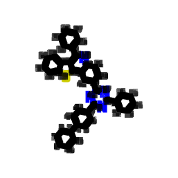 c1ccc(-c2ccc(-c3nc(-c4ccccc4)nc(-c4ccc5nc(-c6ccccc6)c6c7ccccc7sc6c5c4)n3)cc2)cc1